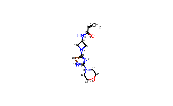 C=CC(=O)NC1CN(c2nc(N3CCOCC3)ns2)C1